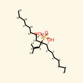 CCCCCCCCC(C=C(C)C)(CCCCCCCC)P(=O)(O)O